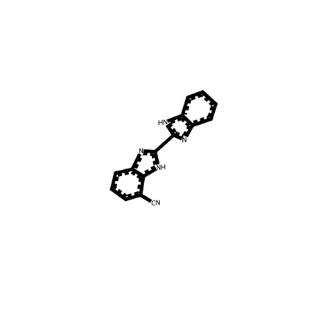 N#Cc1cccc2nc(-c3nc4ccccc4[nH]3)[nH]c12